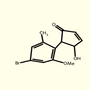 COc1cc(Br)cc(C)c1C1C(=O)C=CC1O